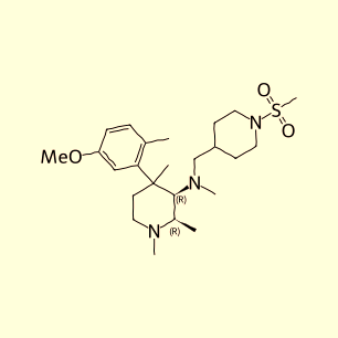 COc1ccc(C)c(C2(C)CCN(C)[C@H](C)[C@@H]2N(C)CC2CCN(S(C)(=O)=O)CC2)c1